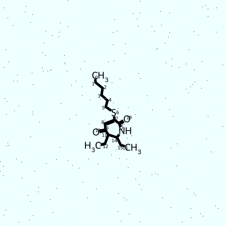 CCCCCCSC1=CC(=O)C(CC)C(CC)NC1=O